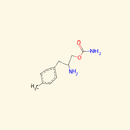 Cc1ccc(CC(N)COC(N)=O)cc1